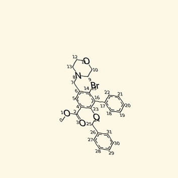 COC(=O)c1cc(CN2CCOCC2)c(Br)c(-c2ccccc2)c1OCc1ccccc1